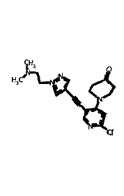 CN(C)CCn1cc(C#Cc2cnc(Cl)cc2N2CCC(=O)CC2)cn1